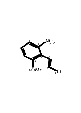 CC/C=C/c1c(OC)cccc1[N+](=O)[O-]